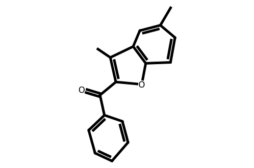 Cc1ccc2oc(C(=O)c3ccccc3)c(C)c2c1